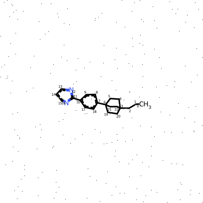 CCCC12CCC(c3ccc(-c4nc[c]cn4)cc3)(CC1)CC2